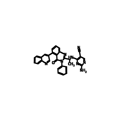 CC(Nc1nc(N)ncc1C#N)c1nc2cccc(-c3cnc4ccccc4c3)c2c(=O)n1-c1ccccc1